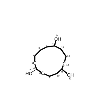 OC1CCCC[C@@H](O)CCCC(O)CCC1